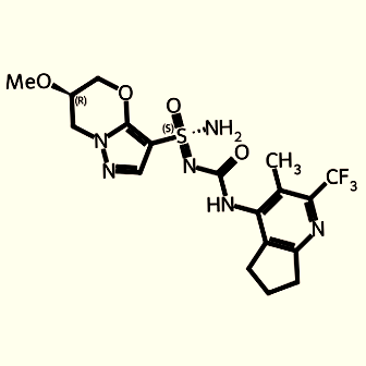 CO[C@H]1COc2c([S@@](N)(=O)=NC(=O)Nc3c(C)c(C(F)(F)F)nc4c3CCC4)cnn2C1